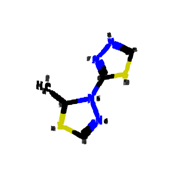 CC1S[C]=NN1c1nncs1